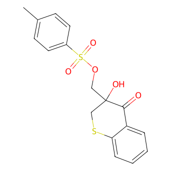 Cc1ccc(S(=O)(=O)OCC2(O)CSc3ccccc3C2=O)cc1